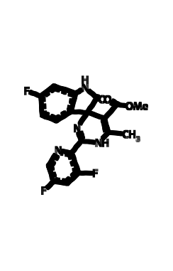 COC(=O)C1=C(C)NC(c2ncc(F)cc2F)=NC12C(=O)Nc1cc(F)ccc12